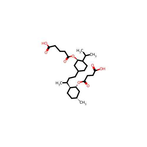 CC(C)C1CCC(CCC(C)[C@@H]2CC[C@@H](C)C[C@H]2OC(=O)CCC(=O)O)C[C@H]1OC(=O)CCCC(=O)O